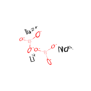 [Ba+2].[Li+].[Nd+3].[O-]B([O-])[O-].[O-]B([O-])[O-]